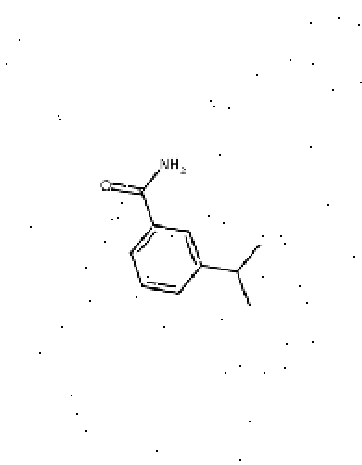 C[C](C)c1cccc(C(N)=O)c1